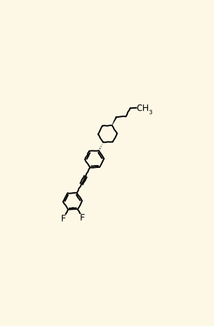 CCCC[C@H]1CC[C@H](c2ccc(C#Cc3ccc(F)c(F)c3)cc2)CC1